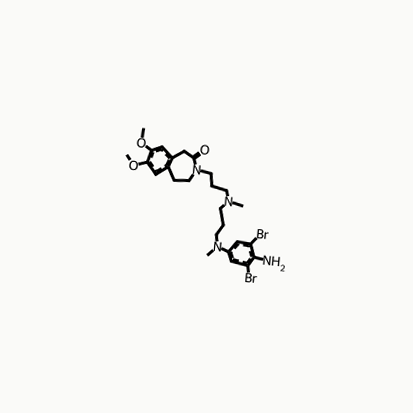 COc1cc2c(cc1OC)CC(=O)N(CCCN(C)CCCN(C)c1cc(Br)c(N)c(Br)c1)CC2